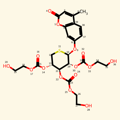 Cc1cc(=O)oc2cc(O[C@@H]3SC[C@@H](OC(=O)OCCO)[C@H](OC(=O)OCCO)[C@H]3OC(=O)OCCO)ccc12